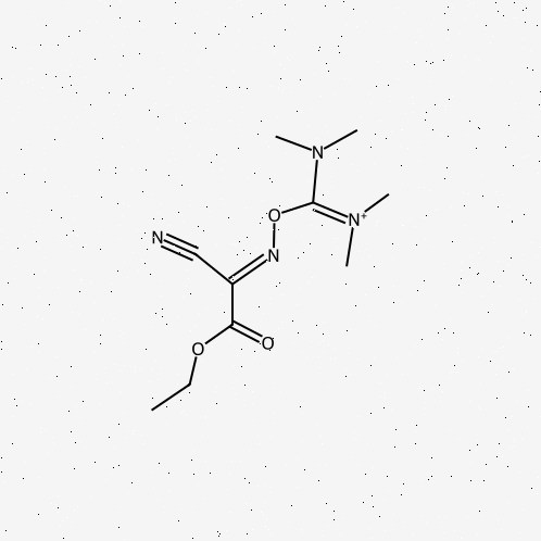 CCOC(=O)/C(C#N)=N/OC(N(C)C)=[N+](C)C